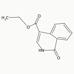 CCOC(=O)c1c[nH]c(=O)c2ccccc12